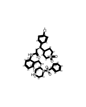 O=C(C[C@@H](c1ccc(Cl)cc1)C1CCS(=O)(=O)CC1)Nc1cccc(F)c1CC[C@H]1CNCCN1S(=O)(=O)c1ccccc1